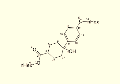 CCCCCCOC(=O)C1CCC(O)(c2ccc(OCCCCCC)cc2)CC1